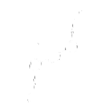 CCCCCCCCCCCCC#Cc1cccc(N=CC(CCCCC)=Nc2cccc(C#CCCCCCCCCCCCC)c2)c1.[Ni]